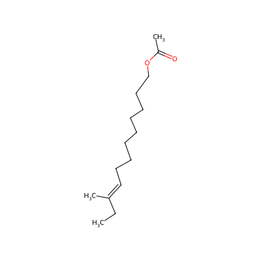 CC/C(C)=C/CCCCCCCCOC(C)=O